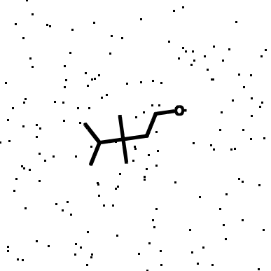 CC(C)C(C)(C)CC[O]